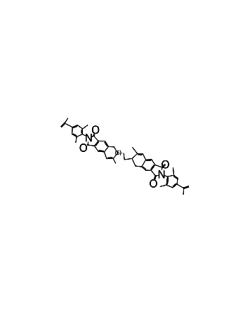 C=C(C)c1cc(C)c(N2C(=O)c3cc4c(cc3C2=O)CC(CC[C@H]2Cc3cc5c(cc3C=C2C)C(=O)N(c2c(C)cc(C(=C)C)cc2C)C5=O)C(C)=C4)c(C)c1